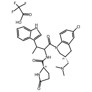 CC(c1c[nH]c2ccccc12)C(NC(=O)[C@H]1CCC(=O)N1)C(=O)N1C[C@@H](CN(C)C)Cc2cc(Cl)ccc21.O=C(O)C(F)(F)F